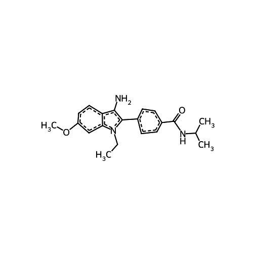 CCn1c(-c2ccc(C(=O)NC(C)C)cc2)c(N)c2ccc(OC)cc21